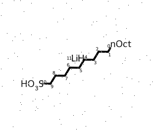 CCCCCCCCCCCCCCCCCS(=O)(=O)O.[LiH]